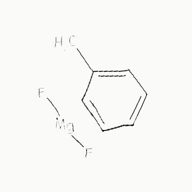 [CH2]c1ccccc1.[F][Mg][F]